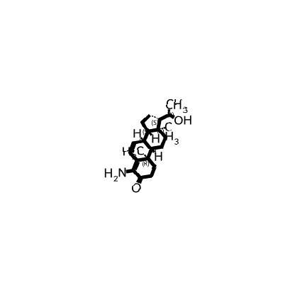 C[C@@H](O)[C@H]1CC[C@H]2[C@@H]3C=CC4=C(N)C(=O)CC[C@]4(C)[C@H]3CC[C@]12C